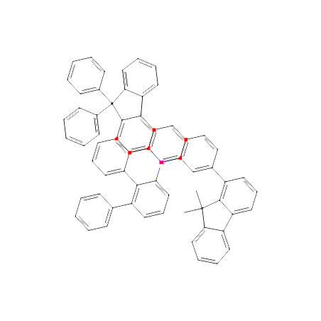 CC1(C)c2ccccc2-c2cccc(-c3cccc(N(c4ccc5c(c4)-c4ccccc4C5(c4ccccc4)c4ccccc4)c4cccc(-c5ccccc5)c4-c4ccccc4-c4ccccc4)c3)c21